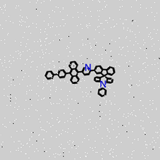 c1ccc(-c2ccc(-c3c4ccccc4c(-c4ccc(-c5ccc6c(c5)C5(c7ccccc7-6)c6ccccc6N(c6ccccc6)c6ccccc65)nc4)c4ccccc34)cc2)cc1